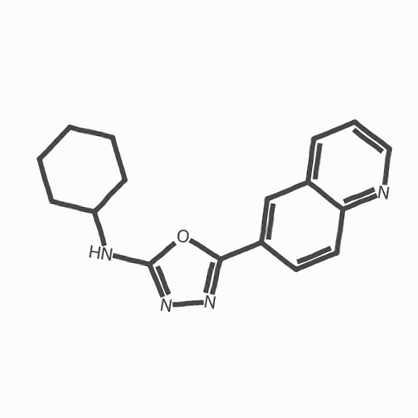 c1cnc2ccc(-c3nnc(NC4CCCCC4)o3)cc2c1